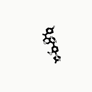 COc1cc(-c2ncnc3c2COCC3C(C)c2ccc(F)cc2)ccc1-n1cnc(C)c1